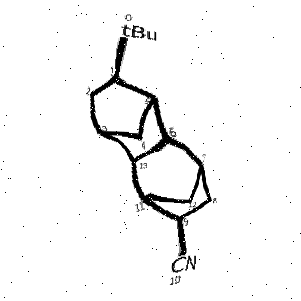 CC(C)(C)C1CC2CC1C1C3CC(C#N)C(C3)C21